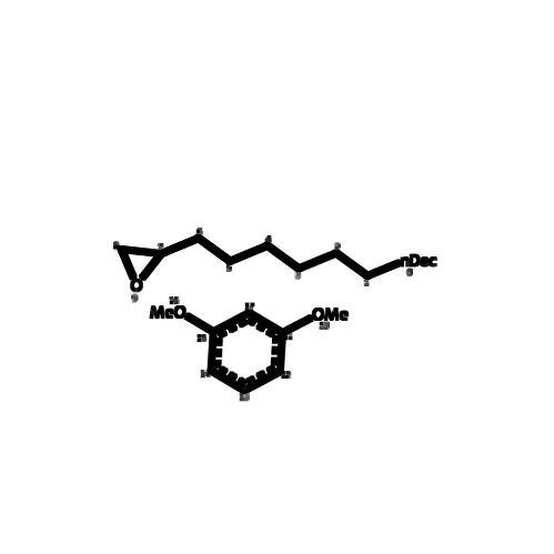 CCCCCCCCCCCCCCCCC1CO1.COc1cccc(OC)c1